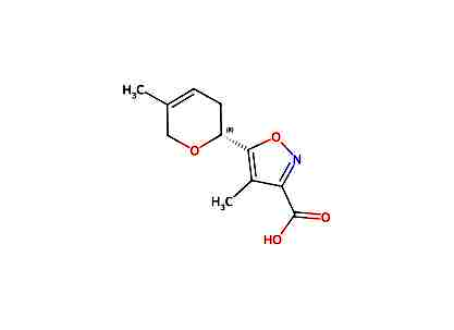 CC1=CC[C@H](c2onc(C(=O)O)c2C)OC1